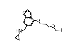 ICOCCCOc1cc(CNC2CC2)cc2sccc12